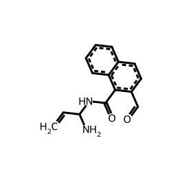 C=CC(N)NC(=O)c1c(C=O)ccc2ccccc12